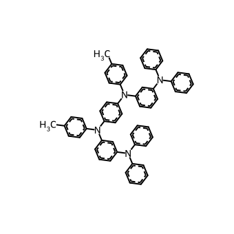 Cc1ccc(N(c2ccc(N(c3ccc(C)cc3)c3cccc(N(c4ccccc4)c4ccccc4)c3)cc2)c2cccc(N(c3ccccc3)c3ccccc3)c2)cc1